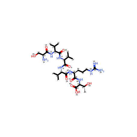 CC(C)[C@H](NC(=O)[C@@H](NC(=O)[C@@H](NC(=O)[C@@H](N)CO)C(C)C)C(C)C)C(=O)N[C@@H](CCCNC(=N)N)C(=O)N[C@H](C(=O)O)[C@@H](C)O